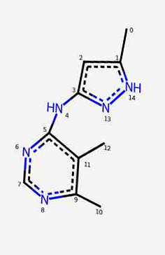 Cc1cc(Nc2ncnc(C)c2C)n[nH]1